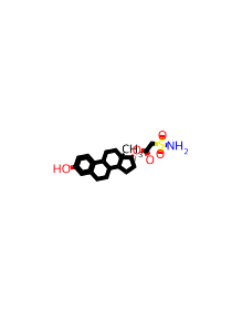 C[C@]12CCC3c4ccc(O)cc4CCC3C1CC[C@@H]2OC(=O)CS(N)(=O)=O